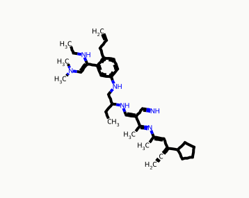 C=C=C(/C=C(C)/N=C(C)/C(C=N)=C/NC(CC)CNc1ccc(CC=C)c(/C(=C/N(C)C)NCC)c1)C1CCCC1